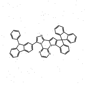 c1ccc(-n2c3ccccc3c3ccc(-c4cnc5c6cc7c(n6c6nccnc6n45)-c4ccccc4C74c5ccccc5-c5ccccc54)cc32)cc1